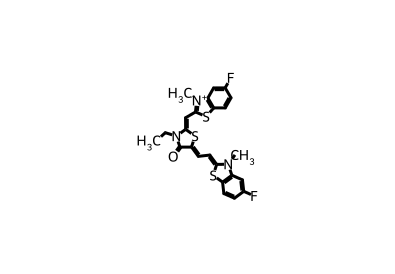 CCn1c(=O)/c(=C/C=C2\Sc3ccc(F)cc3N2C)s/c1=C\c1sc2ccc(F)cc2[n+]1C